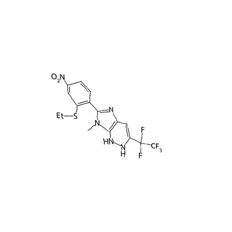 CCSc1cc([N+](=O)[O-])ccc1-c1nc2c(n1C)NNC(C(F)(F)C(F)(F)F)=C2